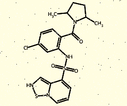 CC1CCC(C)N1C(=O)c1ccc(Cl)cc1NS(=O)(=O)C1=CC=CN2SNC=C12